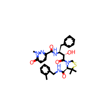 Cc1ccccc1CNC(=O)[C@H]1N(C(=O)[C@@H](O)[C@H](Cc2ccccc2)NC(=O)c2ccc(=O)n(C)n2)CSC1(C)C